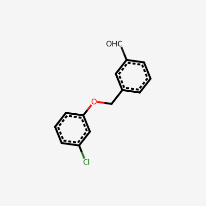 O=Cc1cccc(COc2cccc(Cl)c2)c1